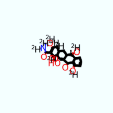 [2H]OC1=C(C(=O)N([2H])[2H])C(=O)[C@@]2(O[2H])C(O)=C3C(=O)c4c(O[2H])cccc4[C@@](C)(O[2H])C3CC2C1([2H])[2H]